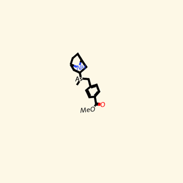 COC(=O)c1ccc(C[As](C)C2CC3CCC(C2)N3)cc1